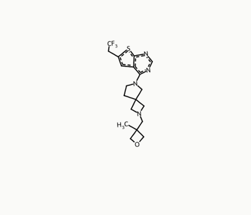 CC1(CN2CC3(CCN(c4ncnc5sc(CC(F)(F)F)cc45)C3)C2)COC1